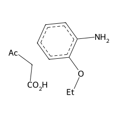 CC(=O)CC(=O)O.CCOc1ccccc1N